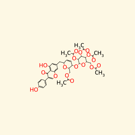 CC(=O)OCC1OC(Cc2cc(O)c3c(=O)c(-c4ccc(O)cc4)coc3c2)C=CC1OC1OC(COC(C)=O)C(OC(C)=O)C(OC(C)=O)C1OC(C)=O